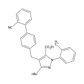 CCCCc1nn(-c2ccccc2C)c(C(=O)OCC)c1Cc1ccc(-c2ccccc2C#N)cc1